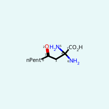 CCCCCC(=O)CC(N)(N)C(=O)O